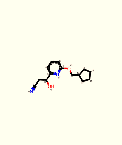 N#CCC(O)c1cccc(OCC2CCCC2)n1